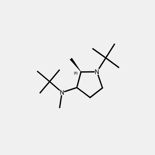 C[C@@H]1C(N(C)C(C)(C)C)CCN1C(C)(C)C